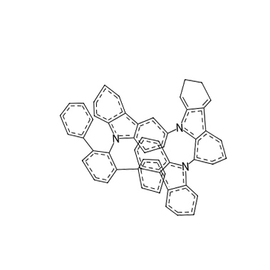 C1=c2c(n(-c3ccc4c(c3)c3ccccc3n4-c3c(-c4ccccc4)cccc3-c3ccccc3)c3c(-n4c5ccccc5c5ccccc54)cccc23)=CCC1